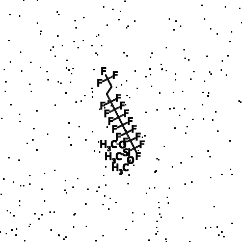 CO[Si](C)(OC)C(F)(F)C(F)(F)C(F)(F)C(F)(F)C(F)(F)C(F)(F)C(F)(F)CCC(F)(F)F